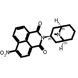 CN1[C@@H]2CCC[C@H]1C[C@@H](N1C(=O)c3cccc4c([N+](=O)[O-])ccc(c34)C1=O)C2